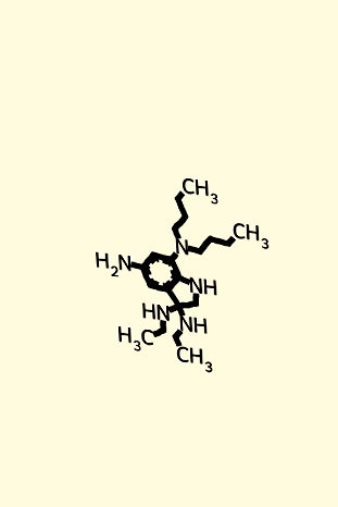 CCCCN(CCCC)c1cc(N)cc2c1NCC2(NCC)NCC